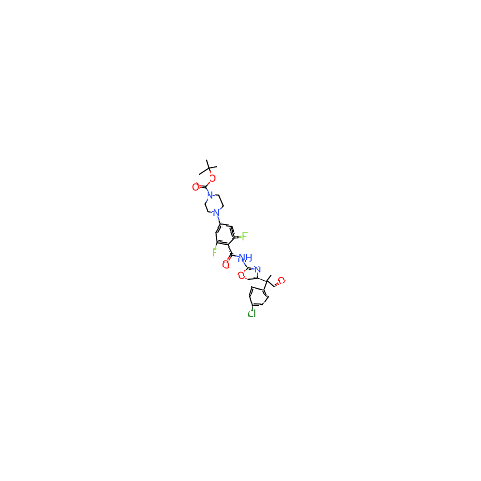 CC(C)(C)OC(=O)N1CCN(c2cc(F)c(C(=O)Nc3nc(C(C)(C=O)c4ccc(Cl)cc4)co3)c(F)c2)CC1